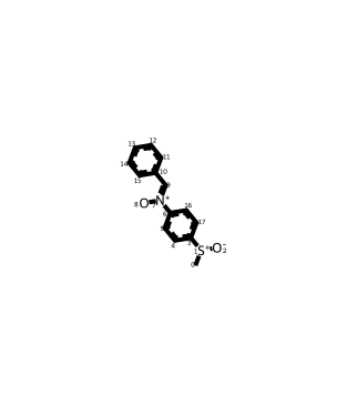 C[S+]([O-])c1ccc([N+]([O-])=Cc2ccccc2)cc1